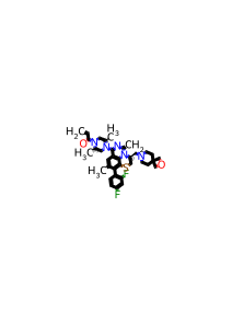 C=CC(=O)N1C[C@H](C)N(C2=NC(=C)N3c4c2cc(C)c(-c2ccc(F)cc2F)c4SC[C@@H]3CN2CCC3(CC2)COC3)C[C@H]1C